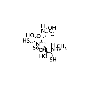 C[Se]N(C(=O)CCC(N)C(=O)O)C(CS)C(=O)O.C[Se]NC(CS)C(=O)O